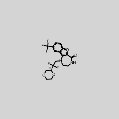 O=C1NCCN(CC(F)(F)[C@@H]2COCCO2)c2c1oc1ccc(C(F)(F)F)cc21